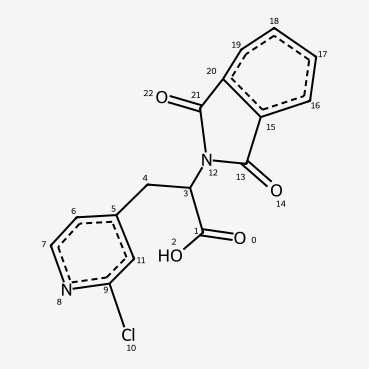 O=C(O)C(Cc1ccnc(Cl)c1)N1C(=O)c2ccccc2C1=O